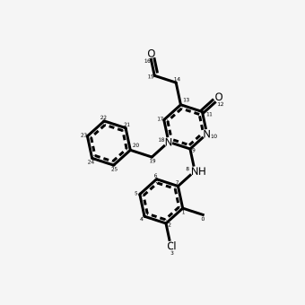 Cc1c(Cl)cccc1Nc1nc(=O)c(CC=O)cn1Cc1ccccc1